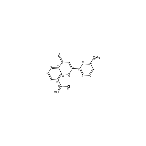 COc1cccc(-c2cc(=O)c3cccc(C(=O)Cl)c3o2)c1